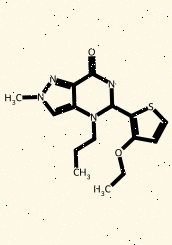 CCCN1c2cn(C)nc2C(=O)[N]C1c1sccc1OCC